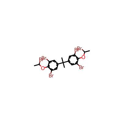 CC(Br)Oc1c(Br)cc(C(C)(C)c2cc(Br)c(OC(C)Br)c(Br)c2)cc1Br